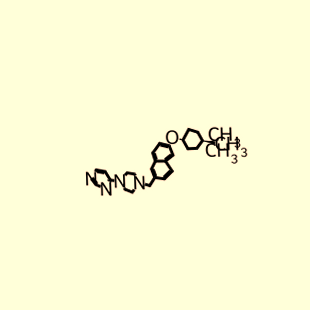 CC(C)(C)[C@H]1CC[C@H](Oc2ccc3cc(CN4CCN(c5ccncn5)CC4)ccc3c2)CC1